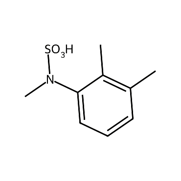 Cc1cccc(N(C)S(=O)(=O)O)c1C